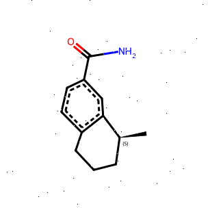 C[C@H]1CCCc2ccc(C(N)=O)cc21